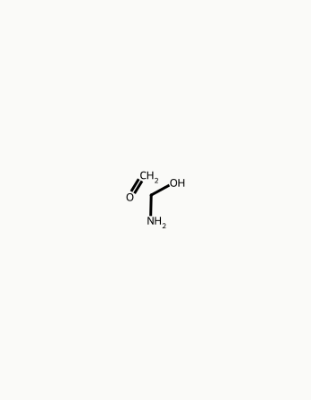 C=O.NCO